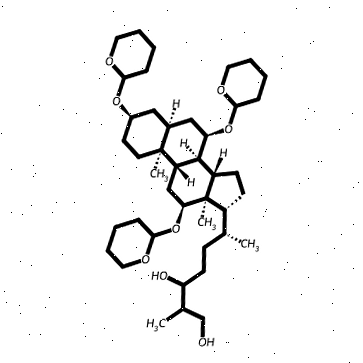 CC(CO)C(O)CC[C@@H](C)[C@H]1CC[C@H]2[C@@H]3[C@H](OC4CCCCO4)C[C@@H]4C[C@H](OC5CCCCO5)CC[C@]4(C)[C@H]3C[C@H](OC3CCCCO3)[C@]12C